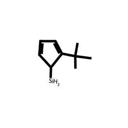 CC(C)(C)C1=CC=CC1[SiH3]